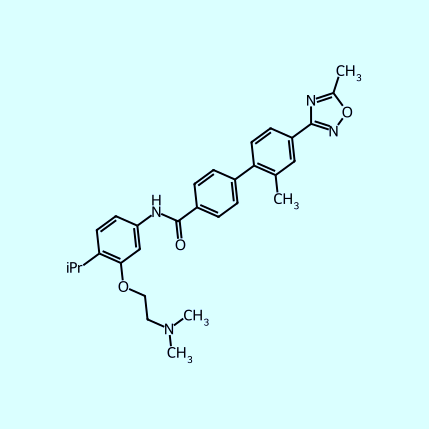 Cc1nc(-c2ccc(-c3ccc(C(=O)Nc4ccc(C(C)C)c(OCCN(C)C)c4)cc3)c(C)c2)no1